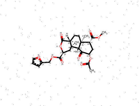 COC(=O)[C@@H]1C[C@H](OC(C)=O)C(=O)[C@H]2[C@@]1(C)CC[C@H]1C(=O)O[C@H](C(=O)OCc3ccco3)C[C@]21C